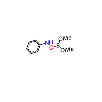 COB(OC)ONc1ccccc1